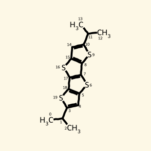 CC(C)c1cc2sc3c4sc(C(C)C)cc4sc3c2s1